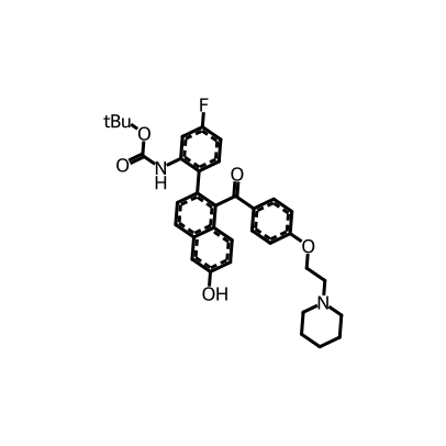 CC(C)(C)OC(=O)Nc1cc(F)ccc1-c1ccc2cc(O)ccc2c1C(=O)c1ccc(OCCN2CCCCC2)cc1